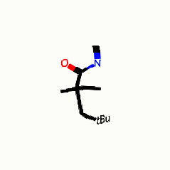 C=NC(=O)C(C)(C)CC(C)(C)C